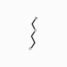 ClCCOCBr